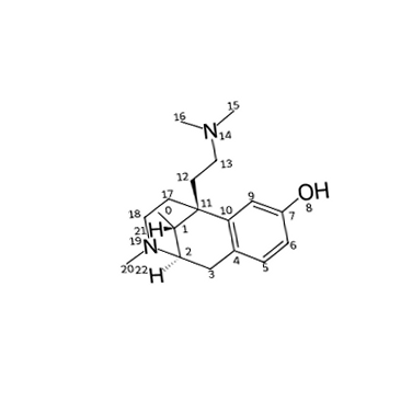 C[C@H]1[C@H]2Cc3ccc(O)cc3[C@@]1(CCN(C)C)CCN2C